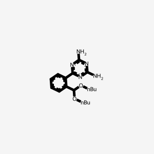 CCCCOC(OCCCC)c1ccccc1-c1nc(N)nc(N)n1